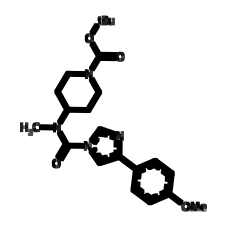 COc1ccc(-c2cn(C(=O)N(C)C3CCN(C(=O)OC(C)(C)C)CC3)cn2)cc1